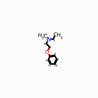 CCN(C)CCOc1ccccc1